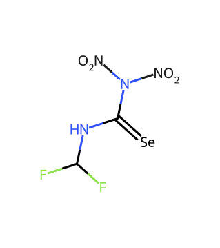 O=[N+]([O-])N(C(=[Se])NC(F)F)[N+](=O)[O-]